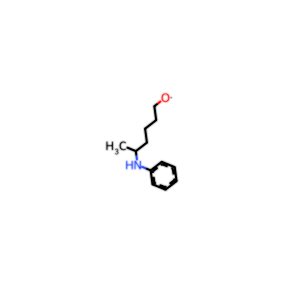 CC(CCCC[O])Nc1ccccc1